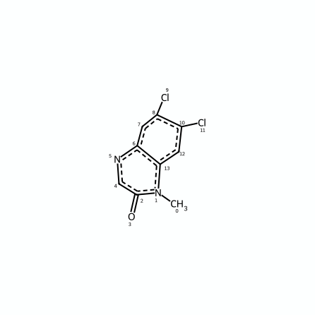 Cn1c(=O)cnc2cc(Cl)c(Cl)cc21